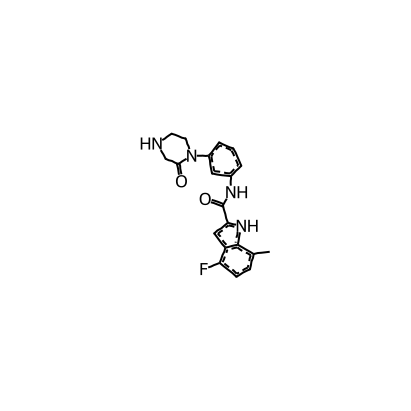 Cc1ccc(F)c2cc(C(=O)Nc3cccc(N4CCNCC4=O)c3)[nH]c12